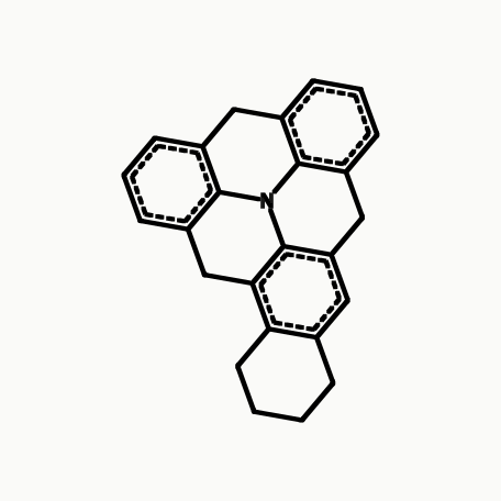 c1cc2c3c(c1)Cc1cc4c(c5c1N3c1c(cccc1C5)C2)CCCC4